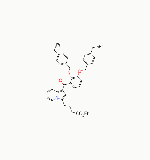 CCOC(=O)CCCc1cc(C(=O)c2cccc(OCc3ccc(CC(C)C)cc3)c2OCc2ccc(CC(C)C)cc2)c2ccccn12